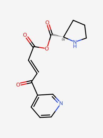 O=C(C=CC(=O)c1cccnc1)OC(=O)[C@@H]1CCCN1